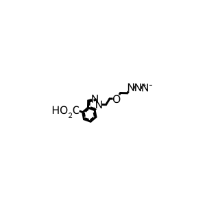 [N-]=[N+]=NCCOCCn1ncc2c(C(=O)O)cccc21